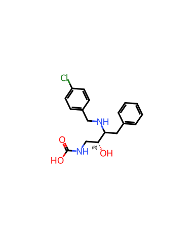 O=C(O)NC[C@@H](O)C(Cc1ccccc1)NCc1ccc(Cl)cc1